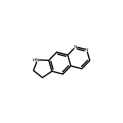 c1cc2cc3c(cc2nn1)NCC3